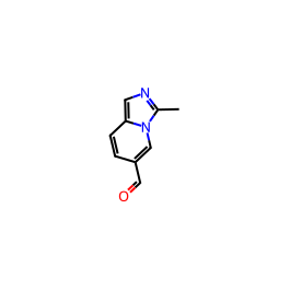 Cc1ncc2ccc(C=O)cn12